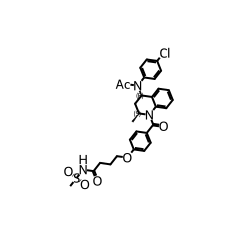 CC(=O)N(c1ccc(Cl)cc1)[C@@H]1C[C@H](C)N(C(=O)c2ccc(OCCCC(=O)NS(C)(=O)=O)cc2)c2ccccc21